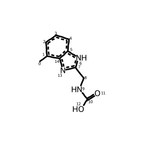 Cc1cccc2[nH]c(CNC(=O)O)nc12